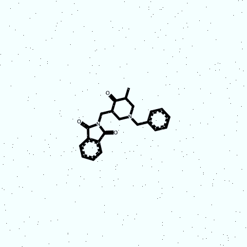 CC1CN(Cc2ccccc2)CC(CN2C(=O)c3ccccc3C2=O)C1=O